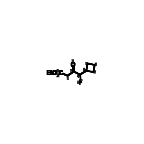 CCOC(=O)CC(=O)C(F)C1CCC1